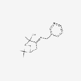 CC1(O)C(=NCc2cccnc2)CC2CC1C2(C)C